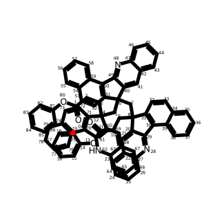 O=C(CCC1(CC2(CC3(CCC(=O)Oc4ccccc4)c4cc5ccccc5nc4-c4c3ccc3ccccc43)c3cc4ccccc4nc3-c3c2ccc2ccccc32)C2=C(NC3C=CC=CC3=C2)c2c1ccc1c2C=CCC1)Oc1ccccc1